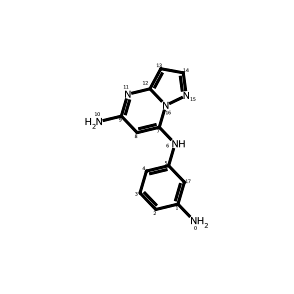 Nc1cccc(Nc2cc(N)nc3ccnn23)c1